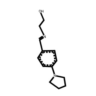 OCCN=Cc1ccc(N2CCCC2)cc1